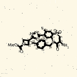 COC(=O)N1CC(c2nnc(-c3cc4c(cc3F)S(=O)(=O)C=C(N)C(=O)N4Cc3ccc(Cl)cc3)o2)C1